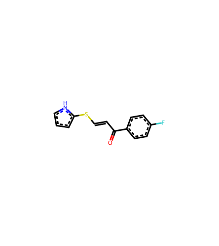 O=C(/C=C/Sc1ccc[nH]1)c1ccc(F)cc1